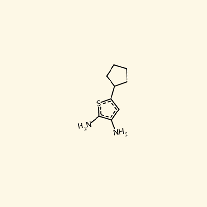 Nc1cc(C2CCCC2)sc1N